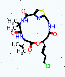 CC(C)[C@@H]1NC(=O)C(C)(C)NC(=O)c2csc(n2)CNC(=O)C[C@@H](C=CCCCl)OC1=O